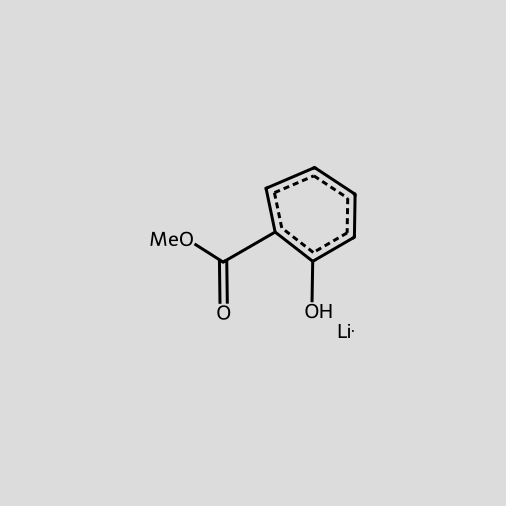 COC(=O)c1ccccc1O.[Li]